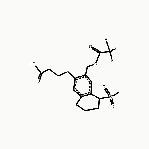 CS(=O)(=O)C1CCCc2cc(SCCC(=O)O)c(COC(=O)C(F)(F)F)cc21